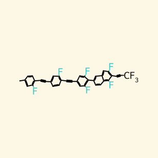 Cc1ccc(C#Cc2ccc(C#Cc3cc(F)c(-c4ccc5c(F)c(C#CC(F)(F)F)c(F)cc5c4)c(F)c3)c(F)c2)c(F)c1